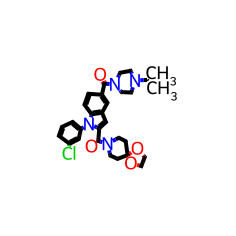 CC(C)N1CCN(C(=O)c2ccc3c(c2)cc(C(=O)N2CCC4(CC2)OCCO4)n3-c2cccc(Cl)c2)CC1